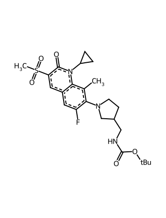 Cc1c(N2CCC(CNC(=O)OC(C)(C)C)C2)c(F)cc2cc(S(C)(=O)=O)c(=O)n(C3CC3)c12